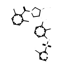 CO[C@@H]1CN(C(=O)c2c(C)cccc2C)C[C@H]1Oc1cccc(NS(=O)(=O)c2sccc2Cl)c1F